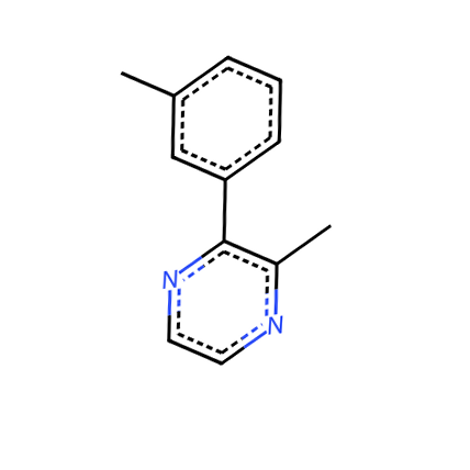 Cc1cccc(-c2nccnc2C)c1